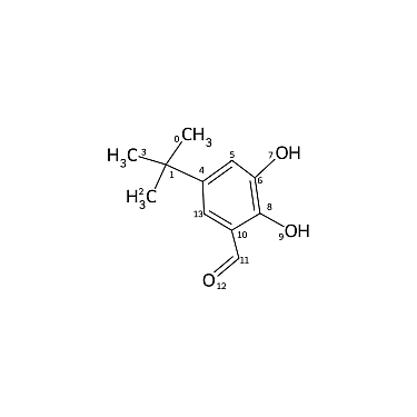 CC(C)(C)c1cc(O)c(O)c(C=O)c1